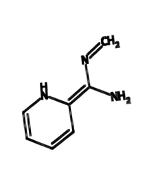 C=N/C(N)=C1/C=CC=CN1